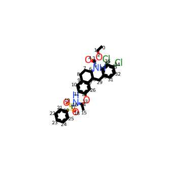 CCOC(=O)NC1CCc2ccc(OC(C)NS(=O)(=O)c3ccccc3)cc2C1Cc1ccc(Cl)c(Cl)c1